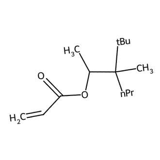 C=CC(=O)OC(C)C(C)(CCC)C(C)(C)C